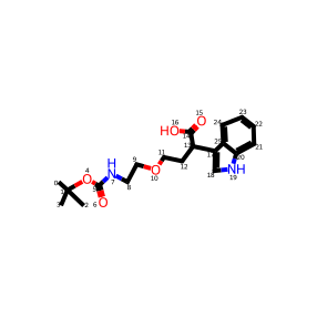 CC(C)(C)OC(=O)NCCOCCC(C(=O)O)c1c[nH]c2ccccc12